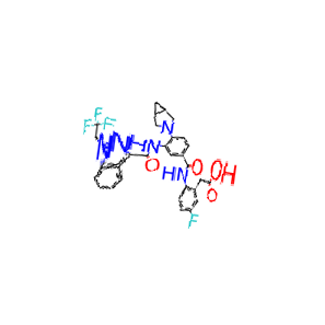 O=C(O)Cc1cc(F)ccc1NC(=O)c1ccc(N2CC3CC3C2)c(NC(=O)c2nn(CC(F)(F)F)c3ccccc23)c1